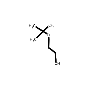 CC(C)(OCCO)C(F)(F)F